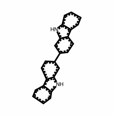 c1ccc2c(c1)[nH]c1cc(-c3ccc4c(c3)[nH]c3ccccc34)ccc12